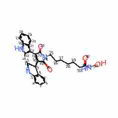 CC1=Nc2ccccc2C1C1=C(c2c(C)[nH]c3ccccc23)C(=O)N(CCCCCCC(=O)NO)C1=O